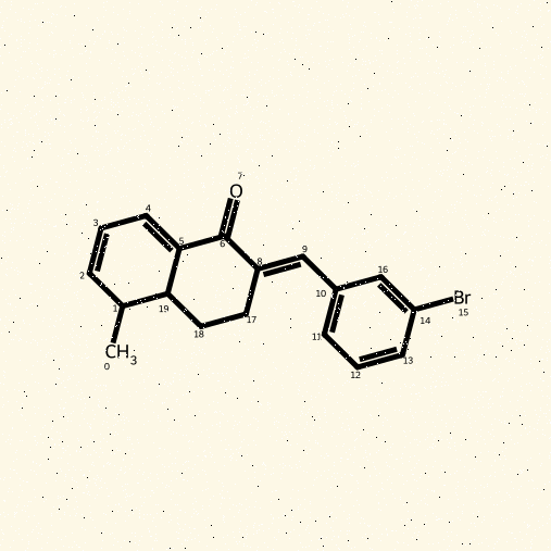 CC1C=CC=C2C(=O)/C(=C/c3cccc(Br)c3)CCC21